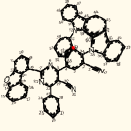 N#Cc1cc(-c2nc(-c3cccc4oc5ccccc5c34)nc(-c3ccccc3)c2C#N)ccc1-n1c2ccccc2c2ccc3c4ccccc4n(-c4ccccc4)c3c21